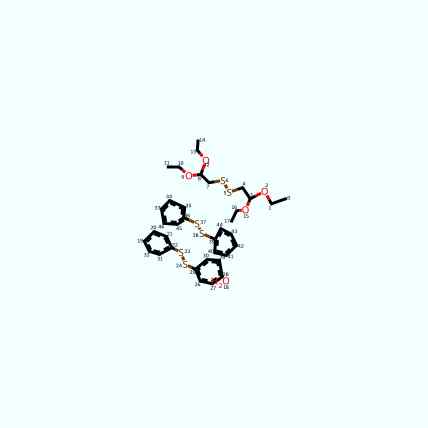 CCOC(CSSCC(OCC)OCC)OCC.O.c1ccc(SSc2ccccc2)cc1.c1ccc(SSc2ccccc2)cc1